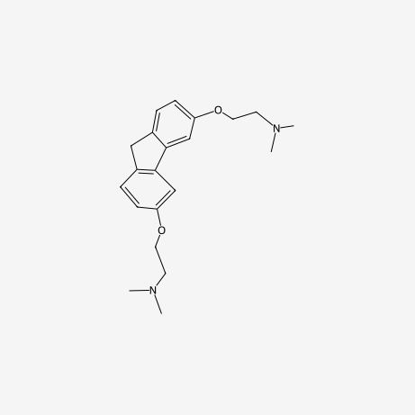 CN(C)CCOc1ccc2c(c1)-c1cc(OCCN(C)C)ccc1C2